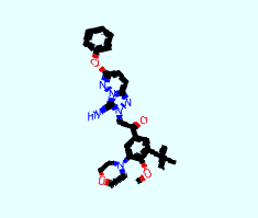 COc1c(N2CCOCC2)cc(C(=O)Cn2nc3ccc(Oc4ccccc4)nn3c2=N)cc1C(C)(C)C